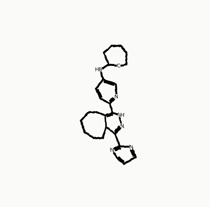 B(c1ccc(C2=C3CCCCCCC3C(c3ncccn3)=NN2)nc1)C1CCCCCC1